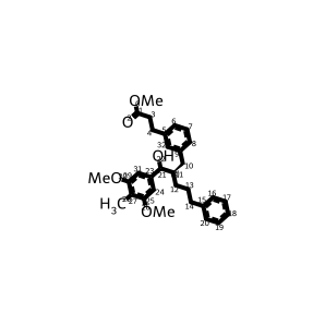 COC(=O)CCc1cccc(C[C@@H](CCCc2ccccc2)C(O)c2cc(OC)c(C)c(OC)c2)c1